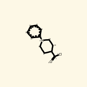 O=C(Cl)C1CCN(c2ccccc2)CC1